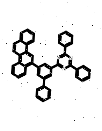 c1ccc(-c2cc(-c3nc(-c4ccccc4)nc(-c4ccccc4)n3)cc(-c3cc4c5ccccc5ccc4c4ccccc34)c2)cc1